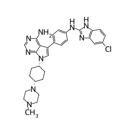 CN1CCN([C@H]2CC[C@@H](n3cc(-c4ccc(Nc5nc6cc(Cl)ccc6[nH]5)cc4)c4c(N)ncnc43)CC2)CC1